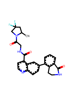 N#CC1CC(F)(F)CN1C(=O)CNC(=O)c1ccnc2ccc(-c3cccc4c3CCNC4=O)cc12